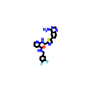 Nc1ncnc2ccc(-c3cnc(CNc4ncccc4C(=O)NCc4ccc(F)c(F)c4)s3)cc12